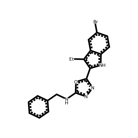 CCc1c(-c2nnc(NCc3ccccc3)o2)[nH]c2ccc(Br)cc12